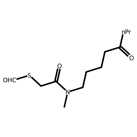 CCCC(=O)CCCCN(C)C(=O)CSC=O